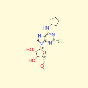 COC[C@H]1O[C@@H](n2cnc3c(NC4CCCC4)nc(Cl)nc32)C(O)C1O